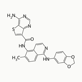 Cc1ccc2c(Nc3ccc4c(c3)OCO4)nccc2c1NC(=O)c1csc2c(N)ncnc12